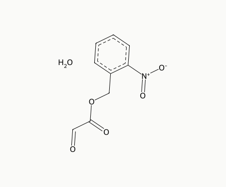 O.O=CC(=O)OCc1ccccc1[N+](=O)[O-]